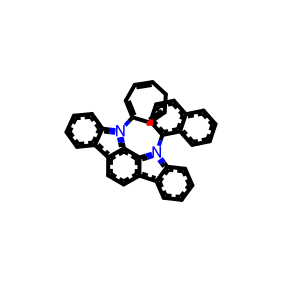 C1=CCC=CC(n2c3ccccc3c3ccc4c5ccccc5n(-c5cccc6ccccc56)c4c32)=C1